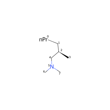 CCCC[C@@H](C)CN(C)C